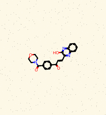 O=C(C=Cc1nc2ccccc2nc1O)c1ccc(C(=O)N2CCOCC2)cc1